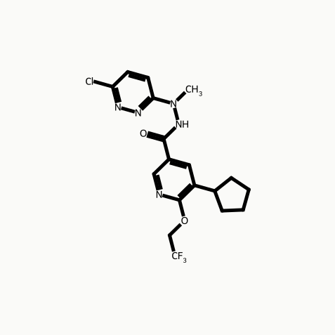 CN(NC(=O)c1cnc(OCC(F)(F)F)c(C2CCCC2)c1)c1ccc(Cl)nn1